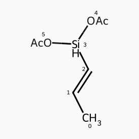 CC=C[SiH](OC(C)=O)OC(C)=O